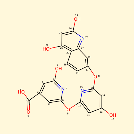 O=C(O)c1cc(O)nc(Oc2cc(O)cc(Oc3ccc4c(O)cc(O)nc4c3)n2)c1